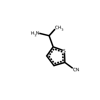 CC(N)c1ccc(C#N)s1